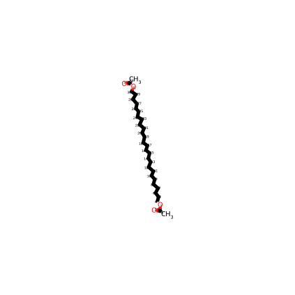 CC(=O)OCCCCCCCCCCCCCCCCCCCCCCCCCCCOC(C)=O